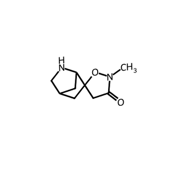 CN1OC2(CC1=O)CC1CNC2C1